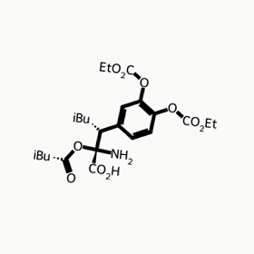 CCOC(=O)Oc1ccc(C([C@@H](C)CC)[C@](N)(OC(=O)[C@@H](C)CC)C(=O)O)cc1OC(=O)OCC